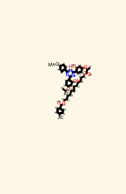 COc1ccc(-c2nc(-c3ccc(OC(C)C(C)=O)cc3O)nc(-c3ccc(OC(C)C(=O)OCCCCCCCCCCCCOC(=O)c4ccc(C(C)=O)cc4)cc3O)n2)cc1